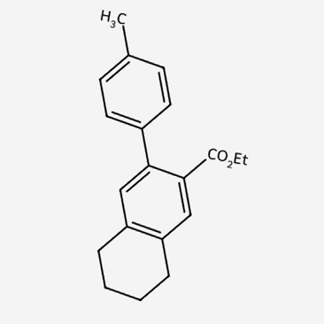 CCOC(=O)c1cc2c(cc1-c1ccc(C)cc1)CCCC2